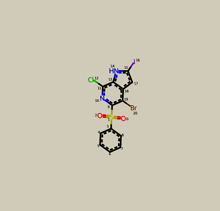 O=S(=O)(c1ccccc1)c1nc(Cl)c2[nH]c(I)cc2c1Br